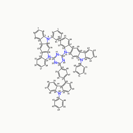 c1ccc(-n2c3ccccc3c3cc4c5ccccc5n(-c5nc(-c6ccc(-c7cccc8c7c7ccccc7n8-c7ccccc7)cc6)nc(-n6c7ccccc7c7cc8c9ccccc9n(-c9ccccc9)c8cc76)n5)c4cc32)cc1